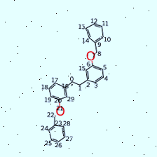 [CH](Cc1cccc(OCc2ccccc2)c1)c1cccc(OCc2ccccc2)c1